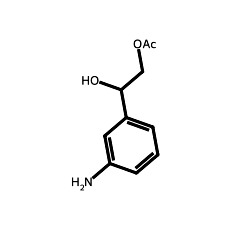 CC(=O)OCC(O)c1cccc(N)c1